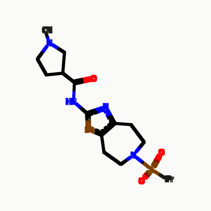 CC(C)S(=O)(=O)N1CCc2nc(NC(=O)C3CCN(C#N)C3)sc2CC1